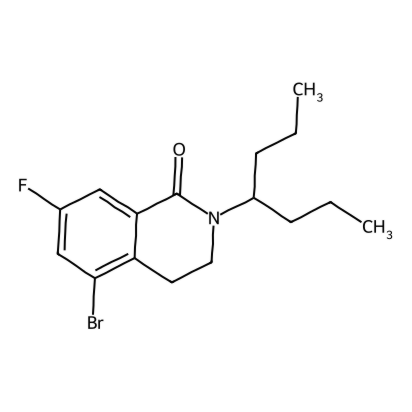 CCCC(CCC)N1CCc2c(Br)cc(F)cc2C1=O